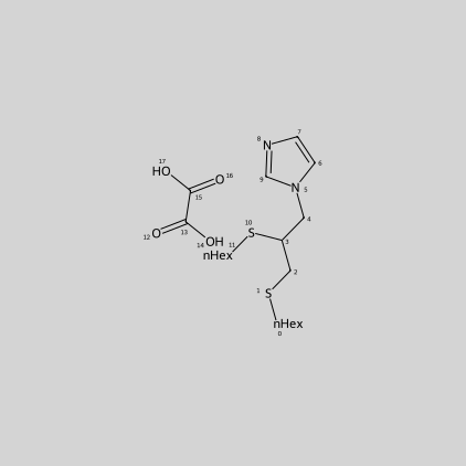 CCCCCCSCC(Cn1ccnc1)SCCCCCC.O=C(O)C(=O)O